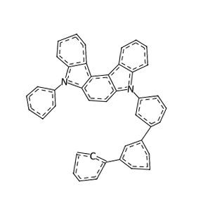 c1ccc(-c2cccc(-c3cccc(-n4c5ccccc5c5c6c7ccccc7n(-c7ccccc7)c6ccc54)c3)c2)cc1